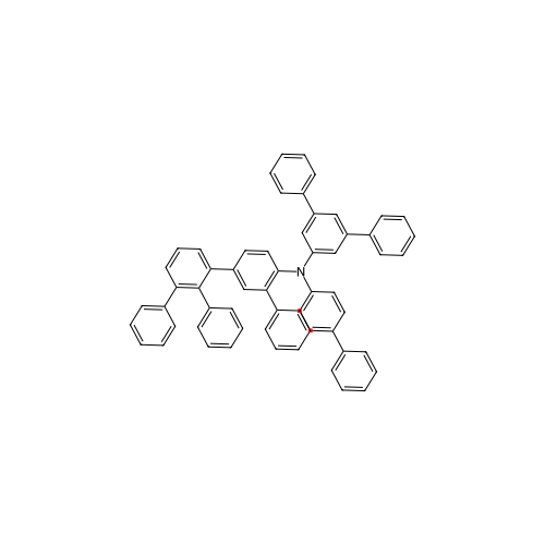 c1ccc(-c2ccc(N(c3cc(-c4ccccc4)cc(-c4ccccc4)c3)c3ccc(-c4cccc(-c5ccccc5)c4-c4ccccc4)cc3-c3ccccc3)cc2)cc1